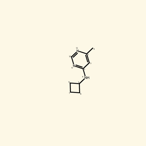 Cc1cc(NC2CCC2)ncn1